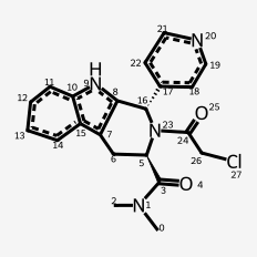 CN(C)C(=O)[C@H]1Cc2c([nH]c3ccccc23)[C@H](c2ccncc2)N1C(=O)CCl